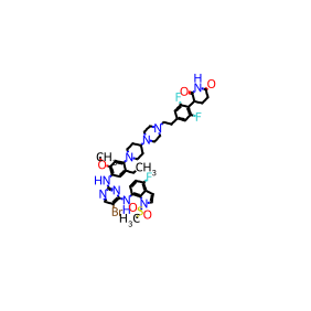 CCc1cc(Nc2ncc(Br)c(Nc3ccc(F)c4ccn(S(C)(=O)=O)c34)n2)c(OC)cc1N1CCC(N2CCN(CCc3cc(F)c(C4CCC(=O)NC4=O)c(F)c3)CC2)CC1